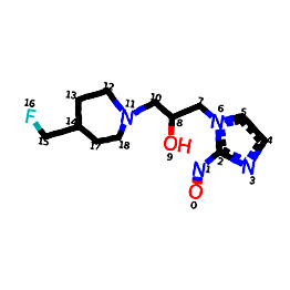 O=Nc1nccn1CC(O)CN1CCC(CF)CC1